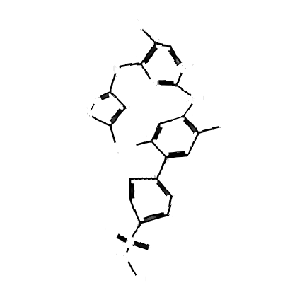 CNS(=O)(=O)c1ccc(-c2cc(F)c(Nc3ncc(Cl)c(Nc4cc(C)[nH]n4)n3)cc2C)cc1